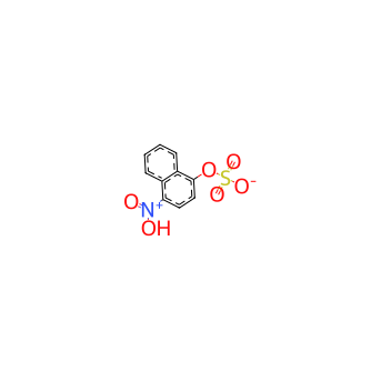 O=[N+](O)c1ccc(OS(=O)(=O)[O-])c2ccccc12